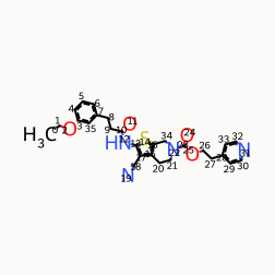 CCOc1cccc(CCC(=O)Nc2sc3c(c2C#N)CCN(C(=O)OCCc2ccncc2)C3)c1